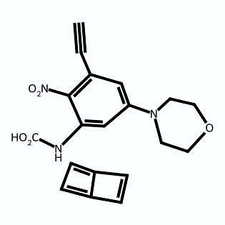 C#Cc1cc(N2CCOCC2)cc(NC(=O)O)c1[N+](=O)[O-].c1cc2ccc1-2